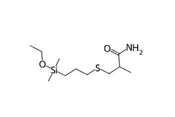 CCO[Si](C)(C)CCCSCC(C)C(N)=O